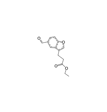 CCOC(=O)CCc1coc2ccc(C=O)cc12